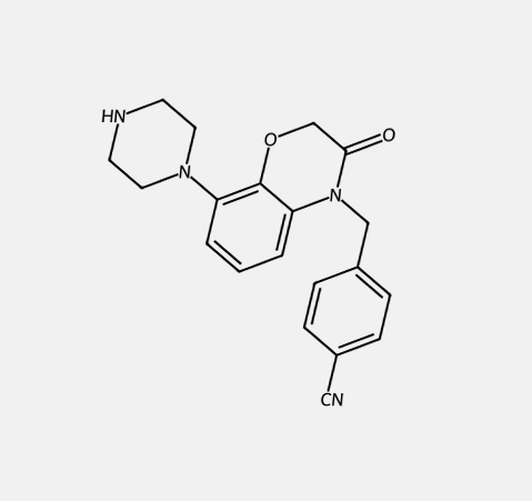 N#Cc1ccc(CN2C(=O)COc3c(N4CCNCC4)cccc32)cc1